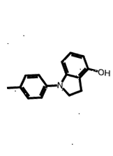 Cc1ccc(N2CCc3c(O)cccc32)cc1